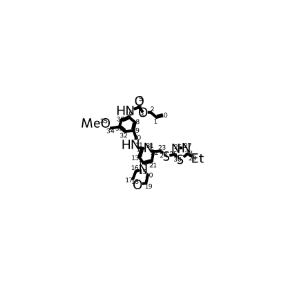 C=CCOC(=O)Nc1cc(CNc2cc(N3CCOCC3)cc(CSc3nnc(CC)s3)n2)cc(COC)c1